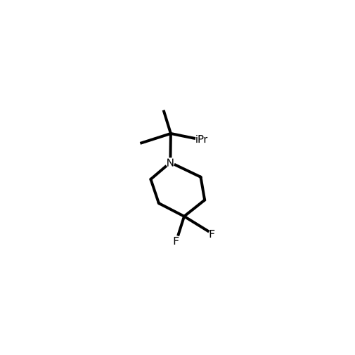 CC(C)C(C)(C)N1CCC(F)(F)CC1